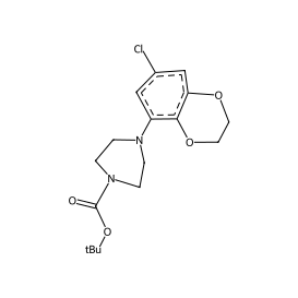 CC(C)(C)OC(=O)N1CCN(c2cc(Cl)cc3c2OCCO3)CC1